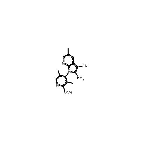 COc1nnc(C)c(-n2c(N)c(C#N)c3cc(C)cnc32)c1C